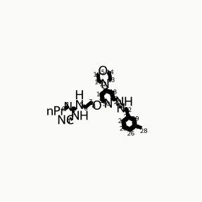 CCC/N=C(\NC#N)NCCOc1cc(N2CCOCC2)cc(N/N=C/c2cccc(C)c2)n1